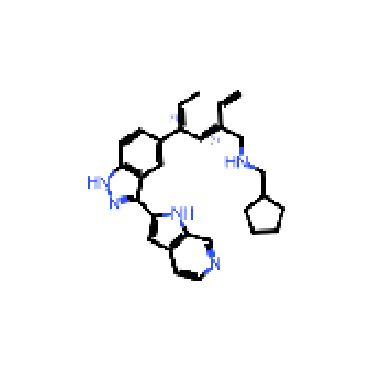 C=C/C(=C\C(=C/C)c1ccc2[nH]nc(-c3cc4ccncc4[nH]3)c2c1)CNCC1CCCC1